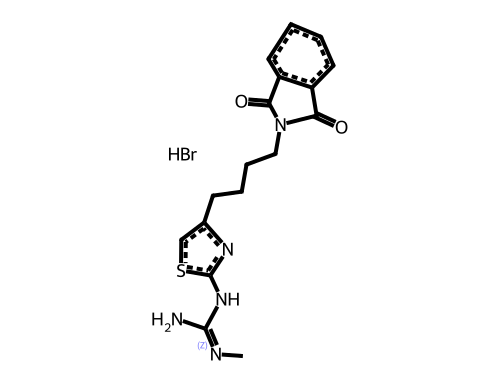 Br.C/N=C(/N)Nc1nc(CCCCN2C(=O)c3ccccc3C2=O)cs1